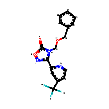 O=c1onc(-c2cc(C(F)(F)F)ccn2)n1COCc1ccccc1